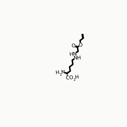 C=CCOC(=O)CNNCCCC[C@H](N)C(=O)O